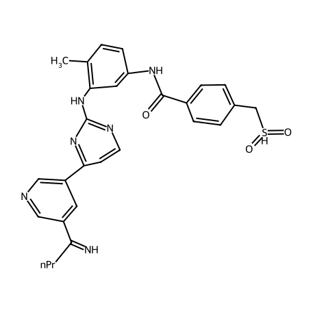 CCCC(=N)c1cncc(-c2ccnc(Nc3cc(NC(=O)c4ccc(C[SH](=O)=O)cc4)ccc3C)n2)c1